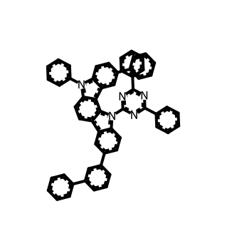 c1ccc(-c2cccc(-c3ccc4c(c3)c3ccc5c(c6cc(-c7ccccc7)ccc6n5-c5ccccc5)c3n4-c3nc(-c4ccccc4)nc(-c4ccccc4)n3)c2)cc1